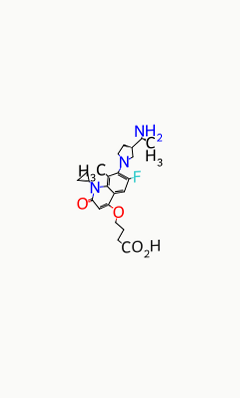 Cc1c(N2CC[C@@H]([C@H](C)N)C2)c(F)cc2c(OCCCC(=O)O)cc(=O)n(C3CC3)c12